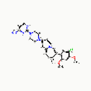 COc1cc(OC)c(C2=CN3C=CC(N4CCN(c5nccc(N)n5)CC4)=CC3=CCC2C)cc1Cl